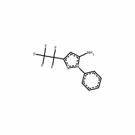 Nc1cc(C(F)(F)C(F)(F)F)nn1-c1ccccc1